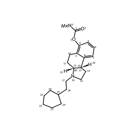 CNC(=O)Oc1cccc2c1CC[C@@H]1[C@H]2CCN1CCC1CCCCC1